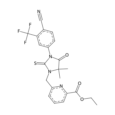 CCOC(=O)c1cccc(CN2C(=S)N(c3ccc(C#N)c(C(F)(F)F)c3)C(=O)C2(C)C)n1